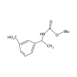 CC(NC(=O)OC(C)(C)C)c1cccc(C(=O)O)c1